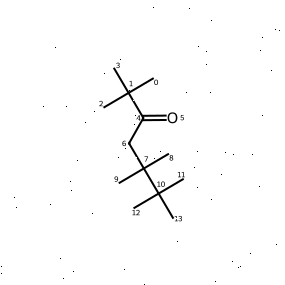 CC(C)(C)C(=O)CC(C)(C)C(C)(C)C